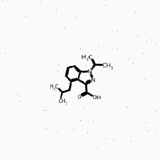 CC(C)Cc1cccc2c1c(C(=O)O)nn2C(C)C